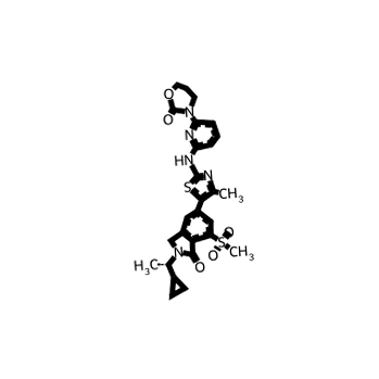 Cc1nc(Nc2cccc(N3CCCOC3=O)n2)sc1-c1cc2c(c(S(C)(=O)=O)c1)C(=O)N([C@@H](C)C1CC1)C2